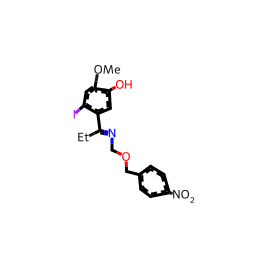 CC/C(=N\COCc1ccc([N+](=O)[O-])cc1)c1cc(O)c(OC)cc1I